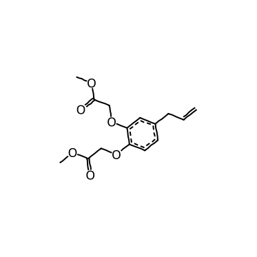 C=CCc1ccc(OCC(=O)OC)c(OCC(=O)OC)c1